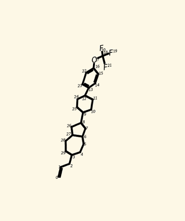 C=CCC1CCC2CC(C3CCC(c4ccc(OC(F)(F)F)cc4)CC3)CC2CC1